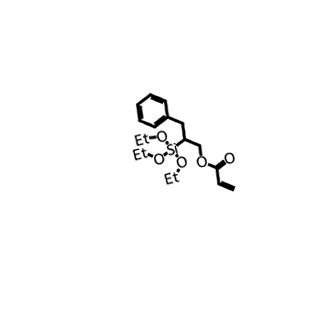 C=CC(=O)OCC(Cc1ccccc1)[Si](OCC)(OCC)OCC